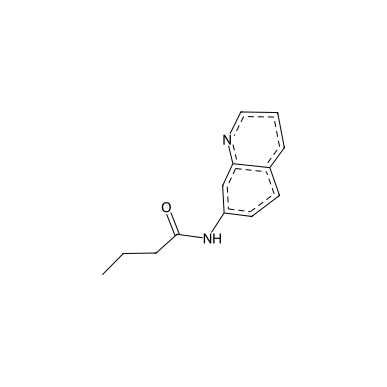 CCCC(=O)Nc1ccc2cccnc2c1